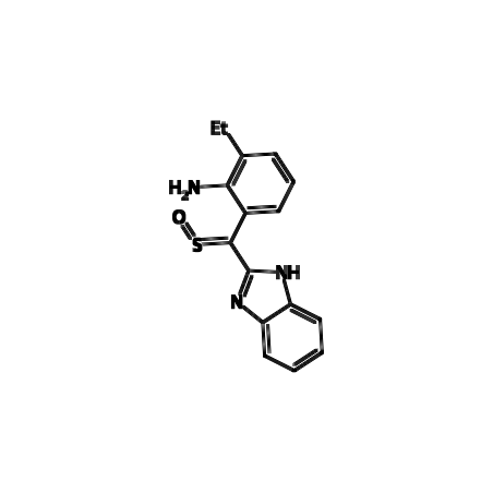 CCc1cccc(C(=S=O)c2nc3ccccc3[nH]2)c1N